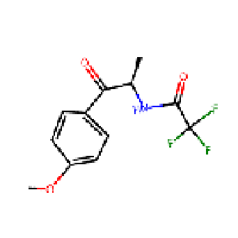 COc1ccc(C(=O)[C@@H](C)NC(=O)C(F)(F)F)cc1